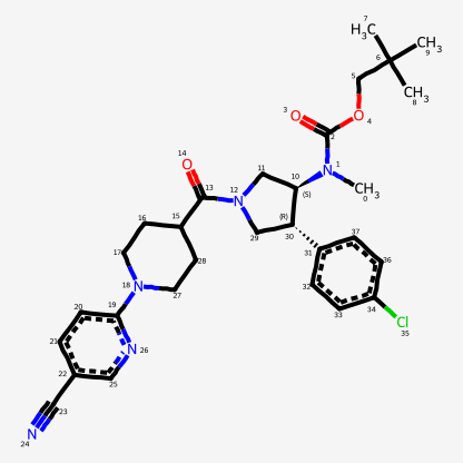 CN(C(=O)OCC(C)(C)C)[C@@H]1CN(C(=O)C2CCN(c3ccc(C#N)cn3)CC2)C[C@H]1c1ccc(Cl)cc1